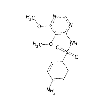 COc1ncnc(NS(=O)(=O)C2C=CC(N)=CC2)c1OC